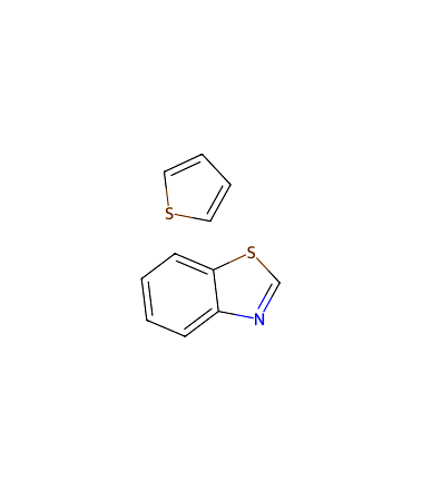 c1ccc2scnc2c1.c1ccsc1